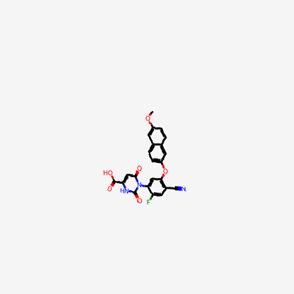 COc1ccc2cc(Oc3cc(-n4c(=O)cc(C(=O)O)[nH]c4=O)c(F)cc3C#N)ccc2c1